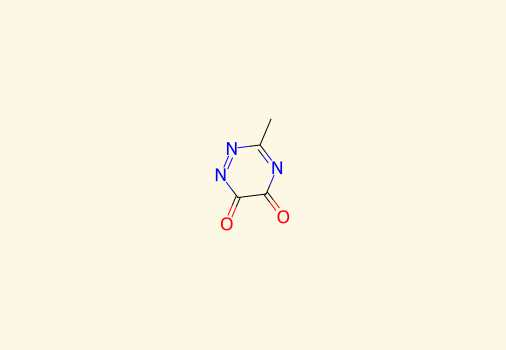 CC1=NC(=O)C(=O)N=N1